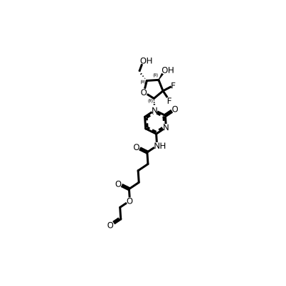 O=CCOC(=O)CCCC(=O)Nc1ccn([C@@H]2O[C@H](CO)[C@@H](O)C2(F)F)c(=O)n1